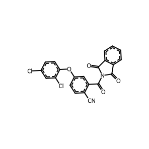 N#Cc1ccc(Oc2ccc(Cl)cc2Cl)cc1C(=O)N1C(=O)c2ccccc2C1=O